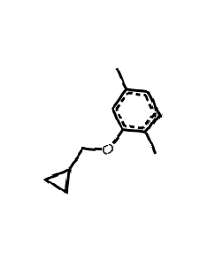 Cc1ccc(C)c(OCC2CC2)c1